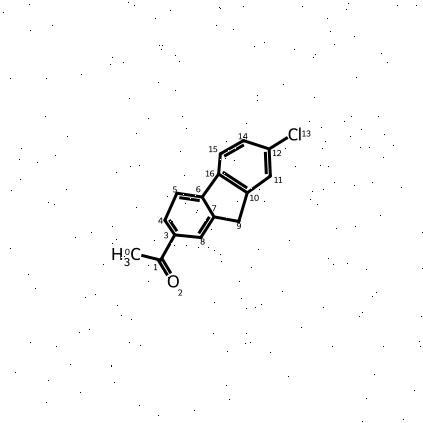 CC(=O)c1ccc2c(c1)Cc1cc(Cl)ccc1-2